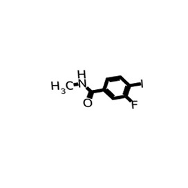 CNC(=O)c1ccc(I)c(F)c1